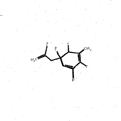 [CH2]C1=C(F)C(F)=CC(F)(CC(=C)F)C1F